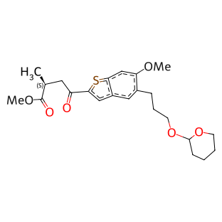 COC(=O)[C@@H](C)CC(=O)c1cc2cc(CCCOC3CCCCO3)c(OC)cc2s1